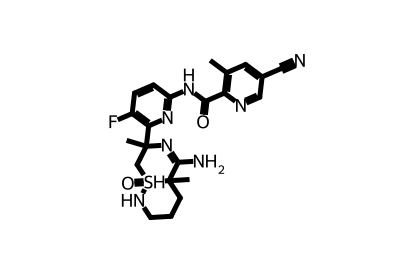 Cc1cc(C#N)cnc1C(=O)Nc1ccc(F)c(C2(C)C[SH]3(=O)NCCCC3(C)C(N)=N2)n1